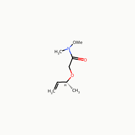 C=C[C@@H](C)OCC(=O)N(C)OC